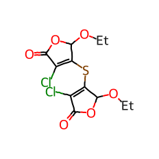 CCOC1OC(=O)C(Cl)=C1SC1=C(Cl)C(=O)OC1OCC